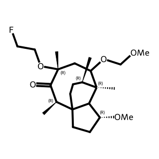 COCOC1C[C@@](C)(OCCF)C(=O)[C@H](C)C23CC[C@@H](C)[C@]1(C)C2[C@H](OC)CC3